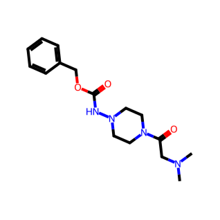 CN(C)CC(=O)N1CCN(NC(=O)OCc2ccccc2)CC1